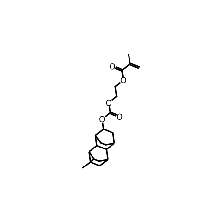 C=C(C)C(=O)OCCOC(=O)OC1CC2CCC1C1C3CCC(CC3C)C21